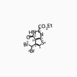 CCOC(=O)c1nc2scc(C(Br)Br)c2c(=O)[nH]1